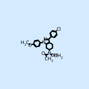 COc1ccc(-n2nc(-c3ccc(Cl)cc3)c3c2CC(N(O)C(C)=O)CC3)cc1.O